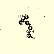 N#Cc1cncc(C(=O)NC2CCN(Cc3ccc(-n4c(-c5cccnc5N)nc5cccnc54)cc3)CC2)c1